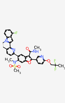 CNC(=O)c1c(-c2ccc(OCC(C)(F)F)nc2)oc2cc(N(C)S(C)(=O)=O)c(-c3ccc4c(n3)-c3cc5c(F)cccc5n3CC4)cc12